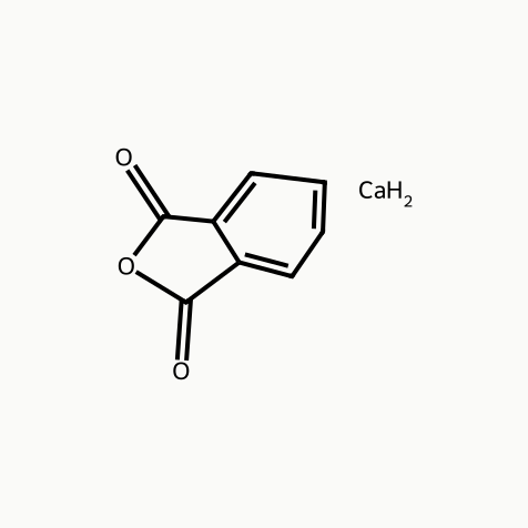 O=C1OC(=O)c2ccccc21.[CaH2]